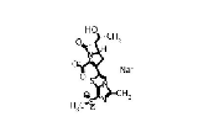 Cc1nc(S(C)(=O)=O)c2sc(C3=C(C(=O)[O-])N4C(=O)[C@H]([C@@H](C)O)[C@H]4C3)cn12.[Na+]